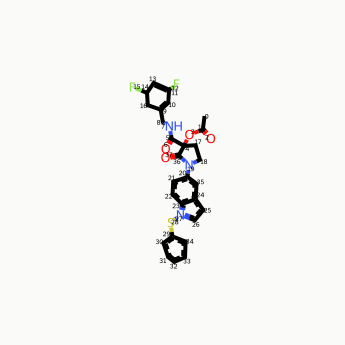 CC(=O)OC1(C(=O)NCC2=CC(F)=CC(F)C2)CCN(c2ccc3c(ccn3Sc3ccccc3)c2)C1=O